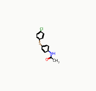 CC(=O)Nc1ccc(Sc2ccc(Cl)cc2)cc1